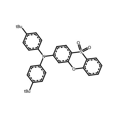 CC(C)(C)c1ccc(N(c2ccc(C(C)(C)C)cc2)c2ccc3c(c2)Oc2ccccc2S3(=O)=O)cc1